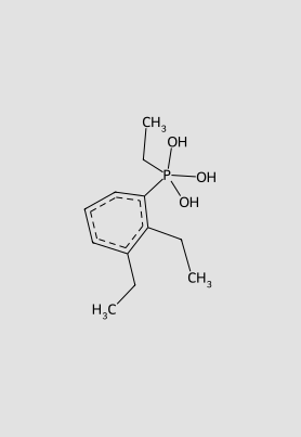 CCc1cccc(P(O)(O)(O)CC)c1CC